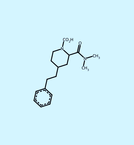 CN(C)C(=O)C1CC(CCc2ccccc2)CCN1C(=O)O